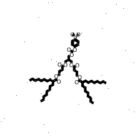 CCCCCCCCC(CCCCCCCC)C(=O)OCCCC(=O)OCC(COC(=O)CCCOC(=O)C(CCCCCCCC)CCCCCCCC)COC(=O)Oc1ccc([N+](=O)[O-])cc1